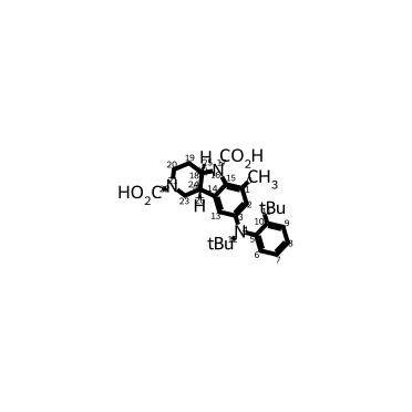 Cc1cc(N(c2ccccc2C(C)(C)C)C(C)(C)C)cc2c1N(C(=O)O)[C@H]1CCN(C(=O)O)C[C@@H]21